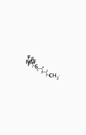 [CH2]CCCCCSCC(F)(F)C(F)(F)F